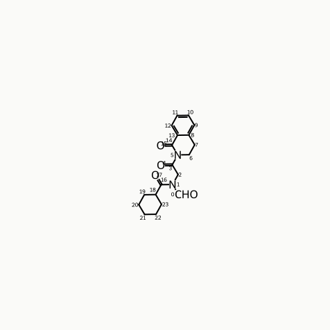 O=CN(CC(=O)N1CCc2ccccc2C1=O)C(=O)C1CCCCC1